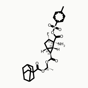 Cc1ccc(S(=O)(=O)OC(=O)[C@@]2(N)[C@H]3[C@@H](C[C@@H]2F)[C@@H]3C(=O)O[C@H](C)OC(=O)C23CC4CC(CC(C4)C2)C3)cc1